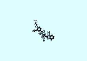 COCCOc1ccc(C(=O)Nc2cc(-c3nc4ccccc4[nH]3)[nH]n2)cc1C#N